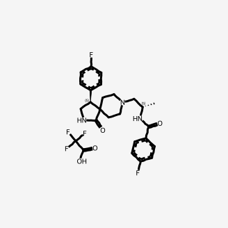 C[C@@H](CN1CCC2(CC1)C(=O)NC[C@H]2c1ccc(F)cc1)NC(=O)c1ccc(F)cc1.O=C(O)C(F)(F)F